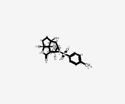 Cc1ccc(S(=O)(=O)N2[C@H]3[C@@H]4C(=O)O[C@@H]5CC[C@H](C[C@]32C)[C@@]54O)cc1